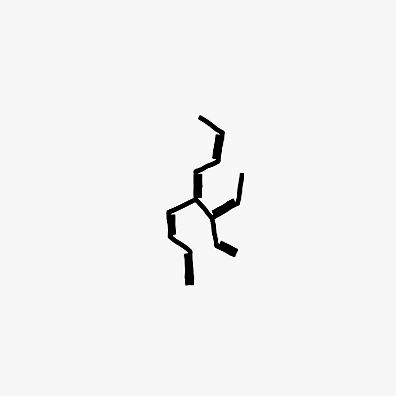 C=C\C=C/C(=C/C=C\C)C(/C=C)=C\C